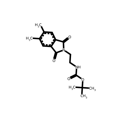 Cc1cc2c(cc1C)C(=O)N(CCNC(=O)OC(C)(C)C)C2=O